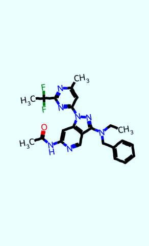 CCN(Cc1ccccc1)c1nn(-c2cc(C)nc(C(C)(F)F)n2)c2cc(NC(C)=O)ncc12